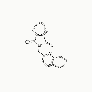 O=C1c2ccccc2C(=O)N1Cc1ccc2ccccc2n1